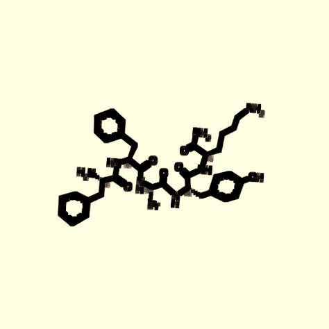 CC(C)[C@H](NC(=O)[C@H](Cc1ccccc1)NC(=O)[C@@H](N)Cc1ccccc1)C(=O)N[C@@H](Cc1ccc(O)cc1)C(=O)N[C@H](CCCCN)C(N)=O